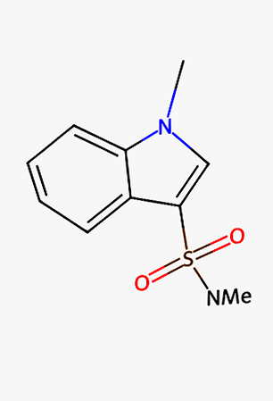 CNS(=O)(=O)c1cn(C)c2ccccc12